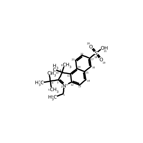 CC[N+]1=C(C(C)(C)C)C(C)(C)c2c1ccc1cc(S(=O)(=O)O)ccc21